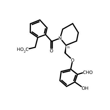 O=Cc1c(O)cccc1OC[C@@H]1CCCCN1C(=O)c1ccccc1CC(=O)O